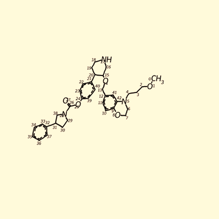 COCCCN1CCOc2ccc(COC3CNCCC3c3ccc(OC(=O)N4CCC(c5ccccc5)C4)cc3)cc21